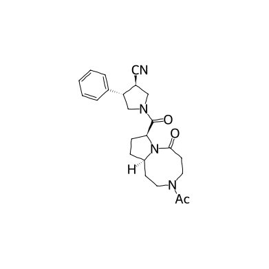 CC(=O)N1CCC(=O)N2[C@H](CC[C@H]2C(=O)N2C[C@H](c3ccccc3)[C@@H](C#N)C2)CC1